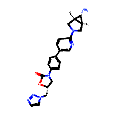 N[C@@H]1[C@H]2CN(c3ccc(-c4ccc(N5C[C@H](Cn6ccnn6)OC5=O)cc4)cn3)C[C@@H]12